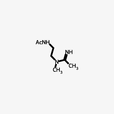 CC(=N)N(C)CCNC(C)=O